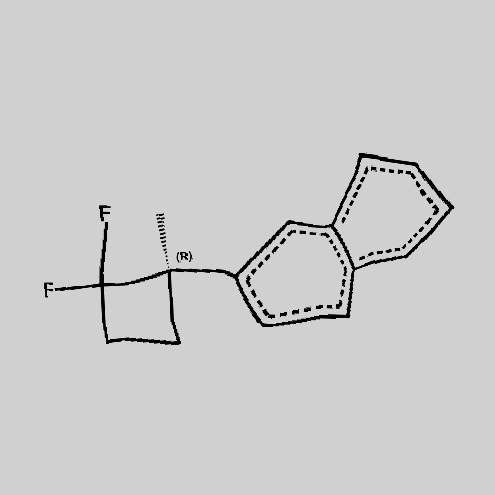 C[C@]1(c2ccc3ccccc3c2)CCC1(F)F